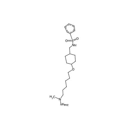 CCCCCN(C)CCCCCCOC1CCC(CNS(=O)(=O)c2ccccc2)CC1